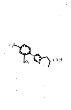 C[C@H](Cc1cn(-c2ccc([N+](=O)[O-])cc2[N+](=O)[O-])cn1)C(=O)O